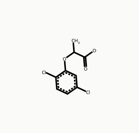 CC(Oc1cc(Cl)ccc1Cl)C([O])=O